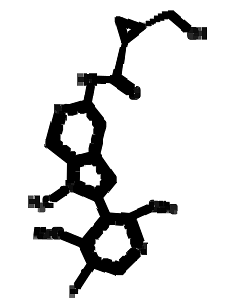 COc1ncc(F)c(OC)c1-c1cc2cc(NC(=O)[C@H]3C[C@@H]3CO)ncc2n1C